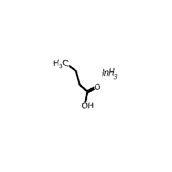 CCCC(=O)O.[InH3]